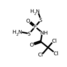 NSP(=O)(NC(=O)C(Cl)(Cl)Cl)SN